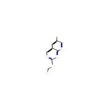 PCNc1ncc2cc(Br)cnc2n1